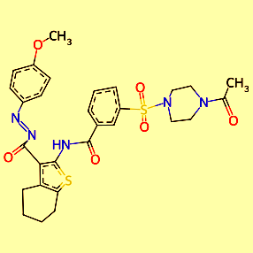 COc1ccc(N=NC(=O)c2c(NC(=O)c3cccc(S(=O)(=O)N4CCN(C(C)=O)CC4)c3)sc3c2CCCC3)cc1